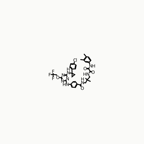 Cc1ccc(NC(=O)C(=O)NCC(C)(C)CNC(=O)c2ccc(Nc3nc(NC4(c5ccc(Cl)cc5)CC4)nc(OCC(F)(F)F)n3)cc2)cc1C